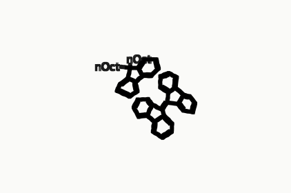 CCCCCCCCC1(CCCCCCCC)c2ccccc2-c2ccccc21.c1ccc2c(c1)C(=C1c3ccccc3-c3ccccc31)c1ccccc1-2